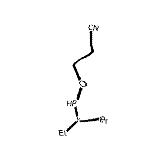 CCN(POCCC#N)C(C)C